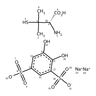 CC(C)(S)[C@@H](N)C(=O)O.O=S(=O)([O-])c1cc(O)c(O)c(S(=O)(=O)[O-])c1.[Na+].[Na+]